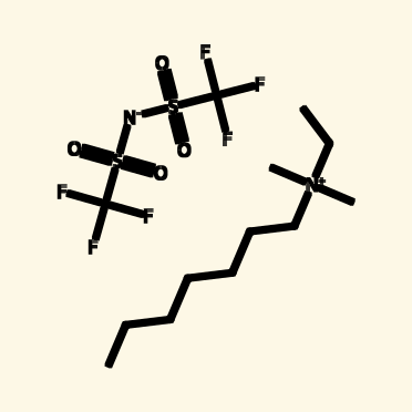 CCCCCCC[N+](C)(C)CC.O=S(=O)([N-]S(=O)(=O)C(F)(F)F)C(F)(F)F